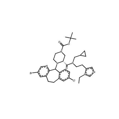 CCn1cncc1CCN(CC1CC1)C(=O)[C@H]1CN(C(=O)OC(C)(C)C)CCN1C1c2ccc(Cl)cc2CCc2cc(Br)cnc21